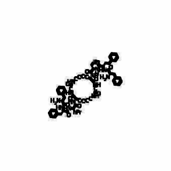 CCC[C@@H](NC(=O)[C@@H](Cc1ccccc1)NC(=O)[C@H](N)Cc1ccccc1)C(=O)N[C@@H]1CCCCNC(=O)CNC(=O)[C@H](NC(=O)[C@@H](CC(C)C)NC(=O)[C@@H](CCc2ccccc2)NC(=O)[C@H](N)Cc2ccccc2)CCCCNC(=O)CNC1=O